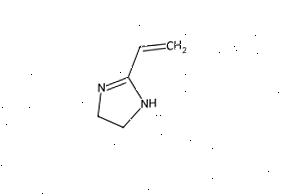 C=CC1=NCCN1